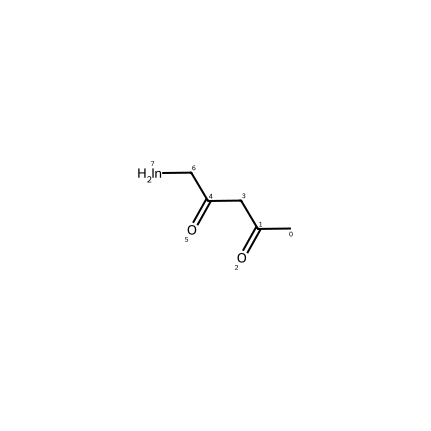 CC(=O)CC(=O)[CH2][InH2]